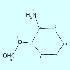 NC1CCCCC1OC=O